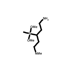 CNCCC(CCN)[Si](C)(OC)OC